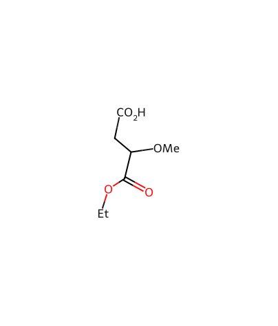 CCOC(=O)C(CC(=O)O)OC